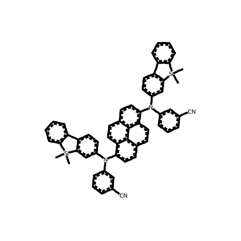 C[Si]1(C)c2ccccc2-c2ccc(N(c3cccc(C#N)c3)c3ccc4ccc5c(N(c6cccc(C#N)c6)c6ccc7c(c6)[Si](C)(C)c6ccccc6-7)ccc6ccc3c4c65)cc21